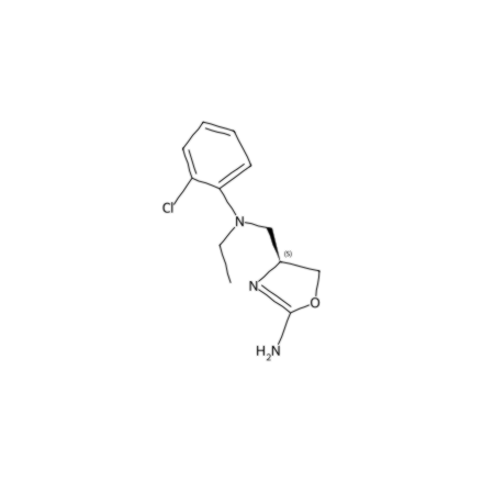 CCN(C[C@H]1COC(N)=N1)c1ccccc1Cl